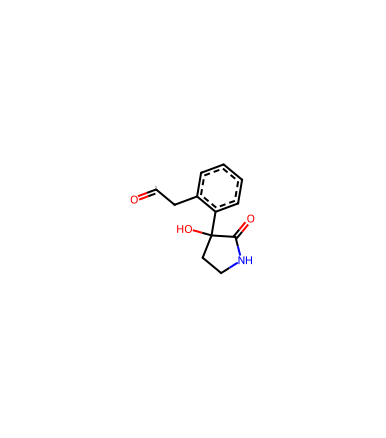 O=[C]Cc1ccccc1C1(O)CCNC1=O